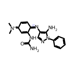 C[N+](C)=C1C=C/C(=N/c2cnn(-c3ccccc3)c2N)C(NC(N)=O)=C1